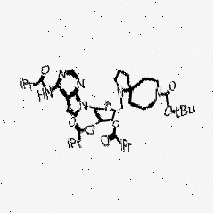 CC(C)C(=O)Nc1ncnc2c1ccn2[C@@H]1O[C@H](CN2CCCC23CCN(C(=O)OC(C)(C)C)CC3)[C@@H](OC(=O)C(C)C)[C@H]1OC(=O)C(C)C